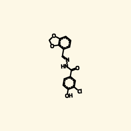 O=C(N/N=C/c1cccc2c1OCO2)c1ccc(O)c(Cl)c1